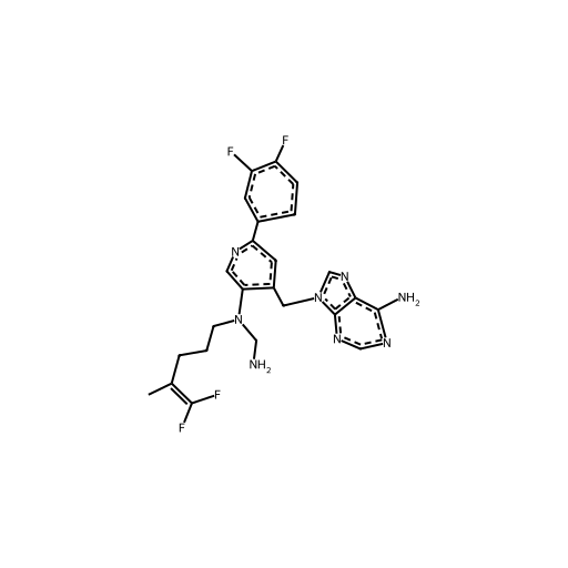 CC(CCCN(CN)c1cnc(-c2ccc(F)c(F)c2)cc1Cn1cnc2c(N)ncnc21)=C(F)F